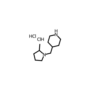 CC1CCCN1CC1CCNCC1.Cl.Cl